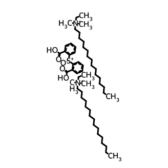 CCCCCCCCCCCCCCCC[N+](C)(C)CC.CCCCCCCCCCCCCCCC[N+](C)(C)CC.O=C(O)c1ccccc1[S+]([O-])c1ccccc1C(=O)O